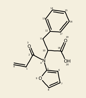 C=CC(=O)N(c1ccco1)C(Cc1ccccc1)C(=O)O